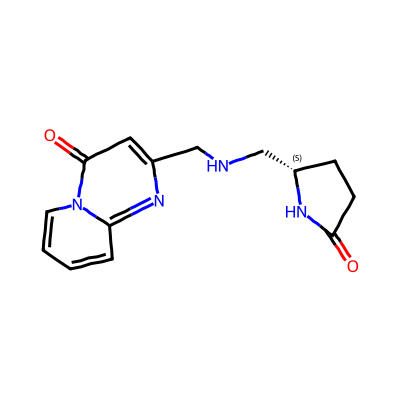 O=C1CC[C@@H](CNCc2cc(=O)n3ccccc3n2)N1